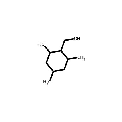 CC1CC(C)C(CO)C(C)C1